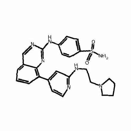 NS(=O)(=O)c1ccc(Nc2ncc3cccc(-c4ccnc(NCCN5CCCC5)c4)c3n2)cc1